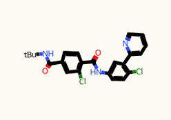 CC(C)(C)NC(=O)c1ccc(C(=O)Nc2ccc(Cl)c(-c3ccccn3)c2)c(Cl)c1